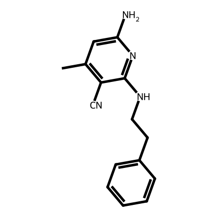 Cc1cc(N)nc(NCCc2ccccc2)c1C#N